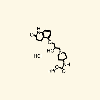 CCCOC(=O)NC1CCN(CC(O)COc2cccc3c2CCC(=O)N3)CC1.Cl